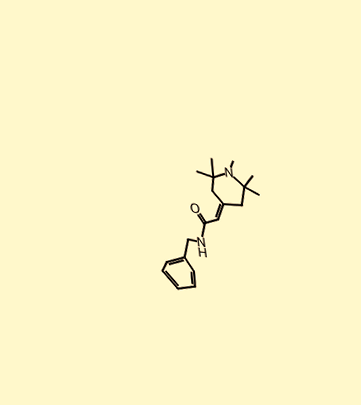 CN1C(C)(C)CC(=CC(=O)NCc2ccccc2)CC1(C)C